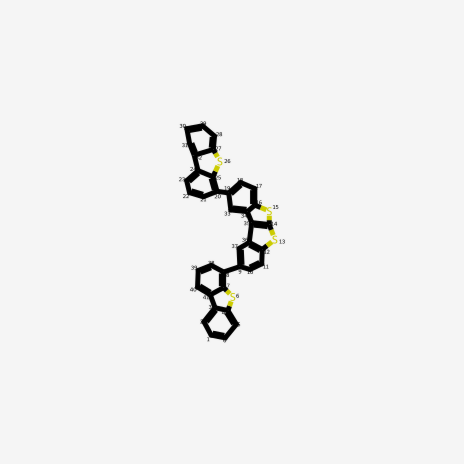 c1ccc2c(c1)sc1c(-c3ccc4sc5sc6ccc(-c7cccc8c7sc7ccccc78)cc6c5c4c3)cccc12